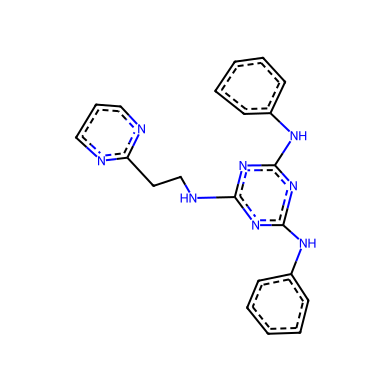 c1ccc(Nc2nc(NCCc3ncccn3)nc(Nc3ccccc3)n2)cc1